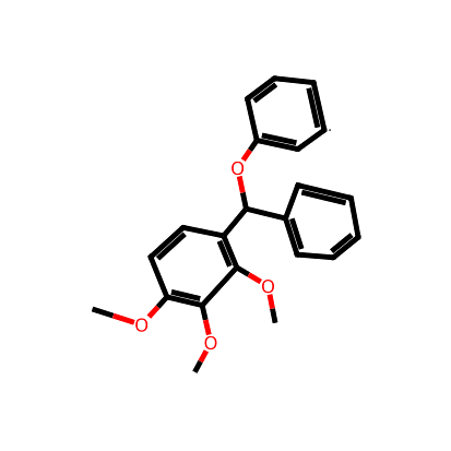 COc1ccc(C(Oc2c[c]ccc2)c2ccccc2)c(OC)c1OC